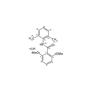 COc1cccc(OC)c1C(=O)Pc1c(C)cccc1C.[LiH]